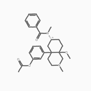 COC12CC[C@@H](N(C)C(=O)c3ccccc3)CC1(c1cccc(OC(C)=O)c1)CCN(C)C2